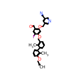 C#CCOc1cccc(-c2cccc(COc3cc(OCc4cncc(C#N)c4)c(C=O)cc3I)c2C)c1C